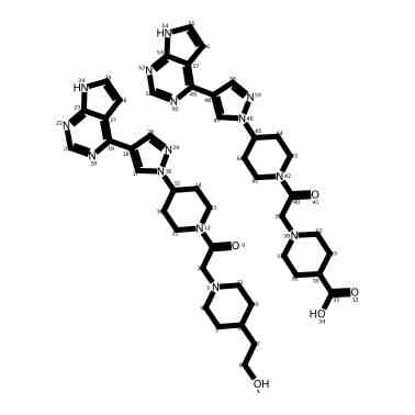 O=C(CN1CCC(CCO)CC1)N1CCC(n2cc(-c3ncnc4[nH]ccc34)cn2)CC1.O=C(O)C1CCN(CC(=O)N2CCC(n3cc(-c4ncnc5[nH]ccc45)cn3)CC2)CC1